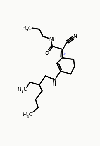 CCCCC(CC)CNC1=C/C(=C(/C#N)C(=O)NCCC)CCC1